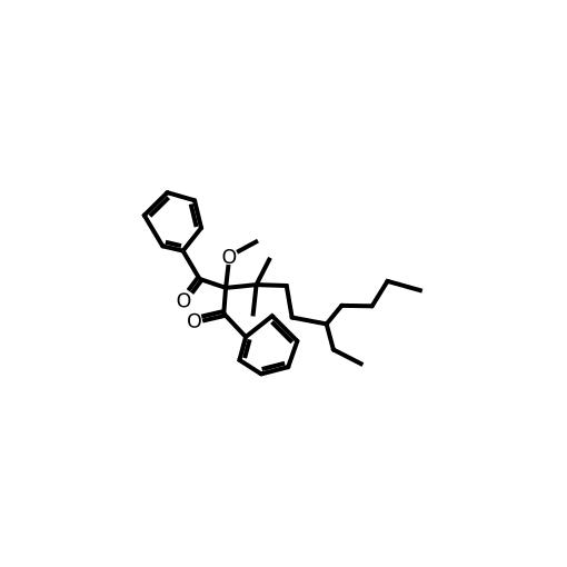 CCCCC(CC)CCC(C)(C)C(OC)(C(=O)c1ccccc1)C(=O)c1ccccc1